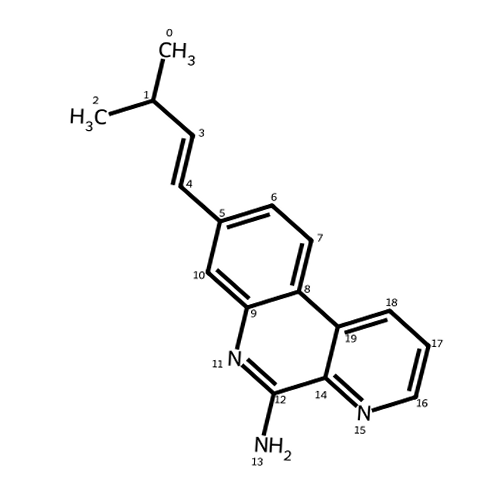 CC(C)C=Cc1ccc2c(c1)nc(N)c1ncccc12